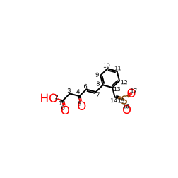 O=C(O)CC(=O)C=Cc1ccccc1C=S(=O)=O